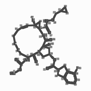 CC(C)(C)OC(=O)N[C@H]1CCCCC/C=C\[C@@H]2C[C@@]2(C(=O)NOCC2CC2)NC(=O)[C@@H]2C[C@@H](OC(=O)N3Cc4cccc(F)c4C3)CN2C1=O